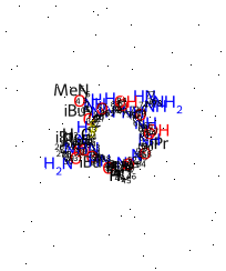 CCC(C)[C@H](NC(=O)CNC)C(=O)N[C@H]1CSSC(C)(C)[C@@H](C(=O)N[C@H](C(=O)N2CCC[C@H]2C(N)=O)C(C)CC)NC(=O)[C@H]([C@@H](C)CC)NC(=O)[C@H]2C[C@@H]3CCCC[C@@H]3N2C(=O)C2CCCN2C(=O)[C@H](CC(C)C)NC(=O)[C@H](CO)NC(=O)[C@H](CCCNC(=N)N)NC(=O)[C@H](CO)NC1=O